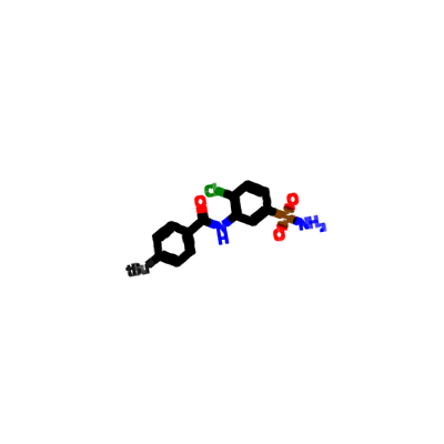 CC(C)(C)c1ccc(C(=O)Nc2cc(S(N)(=O)=O)ccc2Cl)cc1